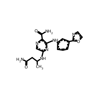 CC(CC(N)=O)Nc1cnc(C(N)=O)c(Nc2cccc(-c3ncco3)c2)n1